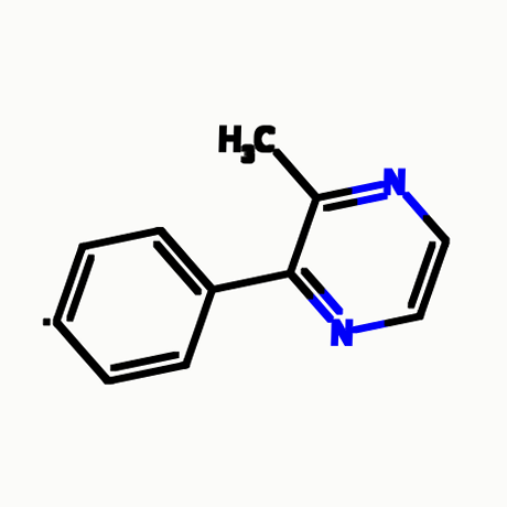 Cc1nccnc1-c1cc[c]cc1